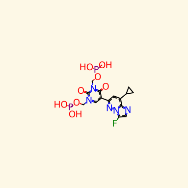 O=c1c(-c2cc(C3CC3)c3ncc(F)n3n2)cn(COP(O)O)c(=O)n1COP(O)O